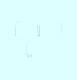 CC(C)OC(=O)C(N)C(C)O